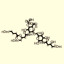 CCCCCCCCCCCCCC(=O)O[C@H](CCCCCCCCCCC)CC(=O)NC1C(O)[C@H](OP(=O)(O)O)C(CO)O[C@H]1OCC1O[C@H](O)C(NC(=O)C[C@H](O)CCCCCCCCCCC)C(O)[C@@H]1O